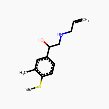 C=CCNCC(O)c1ccc(SCCCC)c(C)c1